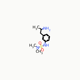 CC(N)Cc1cccc(NS(=O)(=O)N(C)C)c1